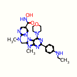 CCNc1ccc(-c2nc(N3CCOCC3)c3nc(CN(C)c4ncc(C(=O)NO)cn4)n(C)c3n2)cc1